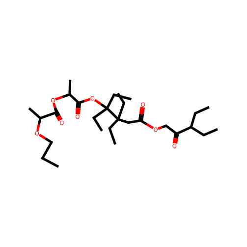 CCCOC(C)C(=O)OC(C)C(=O)OC(CC)(CC)C(CC)(CC)CC(=O)OCC(=O)C(CC)CC